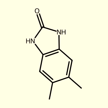 Cc1cc2[nH]c(=O)[nH]c2cc1C